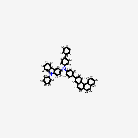 c1ccc(-c2ccc(N(c3ccc(-c4ccc5c(ccc6ccc7ccccc7c65)c4)cc3)c3ccc4c(c3)c3ccccc3n4-c3ccccc3)cc2)cc1